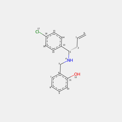 C=CC[C@H](NCc1ccccc1O)c1ccc(Cl)cc1